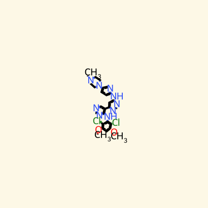 CCN1CCN(c2ccc(Nc3cc(-c4cncnc4Nc4c(Cl)c(OC)cc(OC)c4Cl)ncn3)nc2)CC1